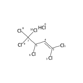 Cl.ClC(Cl)=CC(Cl)C(Cl)(Cl)Cl